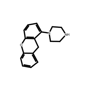 c1ccc2c(c1)Cc1c(cccc1N1CCNCC1)O2